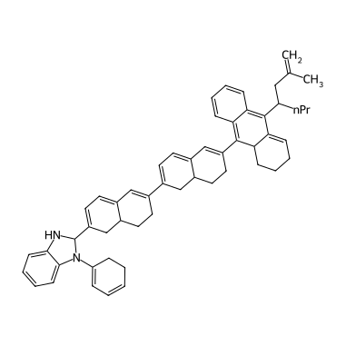 C=C(C)CC(CCC)C1=c2ccccc2=C(C2=CC3=CC=C(C4=CC5=CC=C(C6Nc7ccccc7N6C6=CC=CCC6)CC5CC4)CC3CC2)C2CCCC=C12